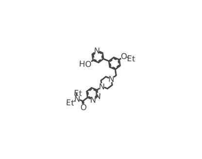 CCOc1cc(CN2CCN(c3ccc(C(=O)N(CC)CC)nn3)CC2)cc(-c2cncc(O)c2)c1